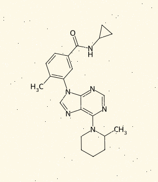 Cc1ccc(C(=O)NC2CC2)cc1-n1cnc2c(N3CCCCC3C)ncnc21